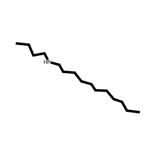 CCCCCCCCCCCPCCCC